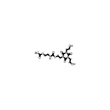 CCC(C)C(=O)OCCNC(=O)OCCn1c(=O)n(CCO)c(=O)n(CCO)c1=O